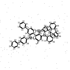 Cc1cc(-c2ccc(-c3ccccc3)cc2Nc2ccc(-c3ccccc3)cc2)c2c(c1)N1c3ccccc3C3(c4ccccc4-c4ccccc43)c3cccc(c31)B2